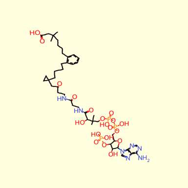 CC(C)(CCCCc1ccccc1CCCCC1(CC(=O)CCNC(=O)CCNC(=O)C(O)C(C)(C)COP(=O)(O)OP(=O)(O)OCC2OC(n3cnc4c(N)ncnc43)C(O)C2OP(=O)(O)O)CC1)CC(=O)O